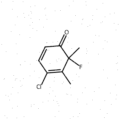 CC1=C(Cl)C=CC(=O)C1(C)F